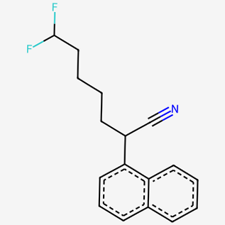 N#CC(CCCCC(F)F)c1cccc2ccccc12